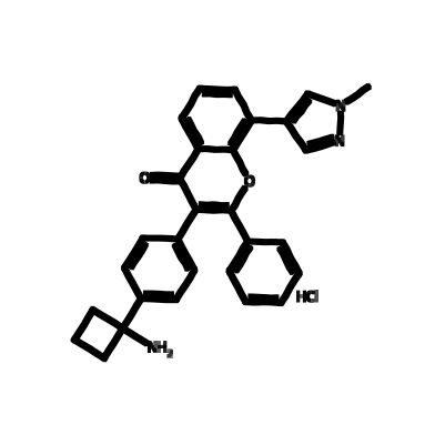 Cl.Cn1cc(-c2cccc3c(=O)c(-c4ccc(C5(N)CCC5)cc4)c(-c4ccccc4)oc23)cn1